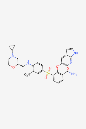 NC(=O)c1cccc(S(=O)(=O)c2ccc(NC[C@@H]3CN(C4CC4)CCO3)c([N+](=O)[O-])c2)c1Oc1cnc2[nH]ccc2c1